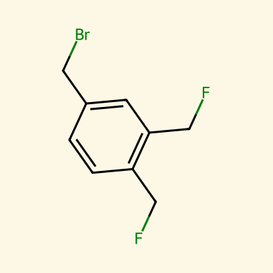 FCc1ccc(CBr)cc1CF